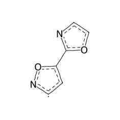 [c]1cc(-c2ncco2)on1